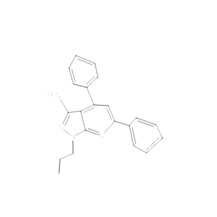 Nc1nn(CCO)c2nc(-c3ccccc3)cc(-c3ccccc3)c12